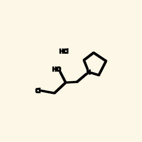 Cl.OC(CCl)CN1CCCC1